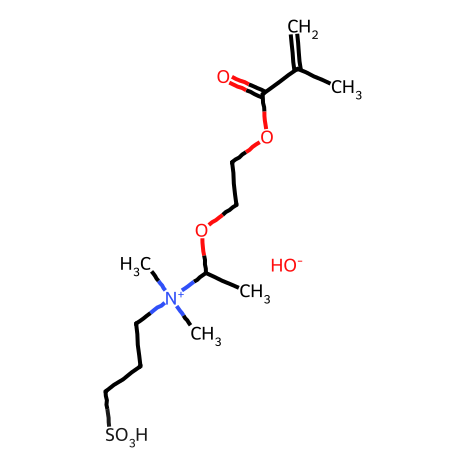 C=C(C)C(=O)OCCOC(C)[N+](C)(C)CCCS(=O)(=O)O.[OH-]